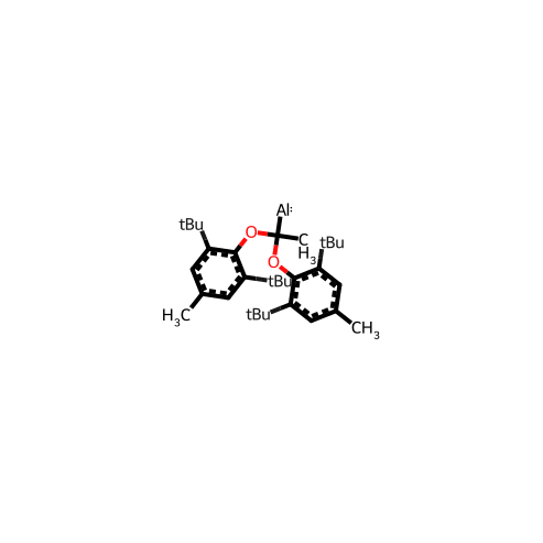 Cc1cc(C(C)(C)C)c(O[C](C)([Al])Oc2c(C(C)(C)C)cc(C)cc2C(C)(C)C)c(C(C)(C)C)c1